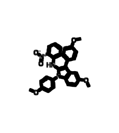 COc1ccc(-c2c(Nc3ccccc3[N+](=O)[O-])n(-c3ccc(OC)cc3)c3ccc(OC)cc23)cc1